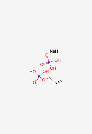 C=CCOP(=O)(O)O.O=P(O)(O)O.[NaH]